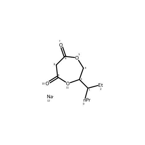 CCCC(CC)C1COC(=O)CC(=O)O1.[Na]